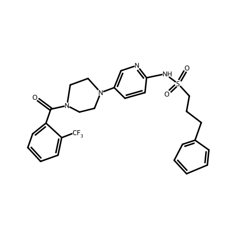 O=C(c1ccccc1C(F)(F)F)N1CCN(c2ccc(NS(=O)(=O)CCCc3ccccc3)nc2)CC1